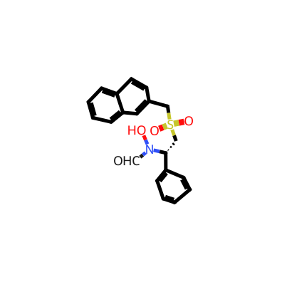 O=CN(O)[C@H](CS(=O)(=O)Cc1ccc2ccccc2c1)c1ccccc1